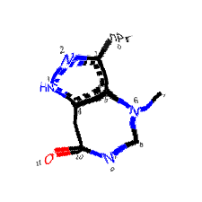 CCCc1n[nH]c2c1N(C)C[N]C2=O